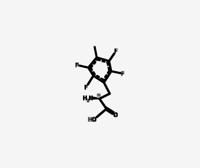 Cc1c(F)c(F)c(C[C@H](N)C(=O)O)c(F)c1F